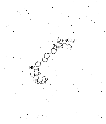 O=C(O)NC(C(=O)N1CCC[C@H]1c1nc2cc(-c3ccc4cc(-c5ccc6[nH]c([C@@H]7CCCN7C(=O)C(NC(=O)O)C7CCOCC7)nc6c5)ccc4c3)ccc2[nH]1)C1CCOCC1